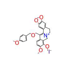 COc1ccc(COCc2c3[n+](cc4c(OC)c(OC)ccc24)CCc2cc4c(cc2-3)OCO4)cc1.[I-]